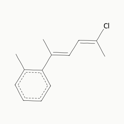 C/C(Cl)=C\C=C(/C)c1ccccc1C